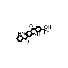 CCC(O)c1ccc2c(=O)c3cc4[nH]c5ccccc5c(=O)c4cc3[nH]c2c1